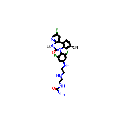 CCN1C(=O)N(c2c(F)cc(NCCNCCNC(N)=O)cc2F)c2cc(C#N)ccc2-c2cc(F)cnc21